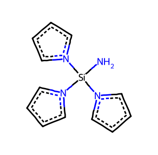 N[Si](n1cccc1)(n1cccc1)n1cccc1